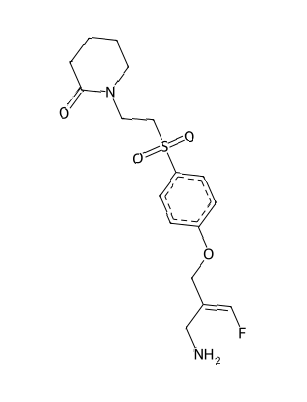 NCC(=CF)COc1ccc(S(=O)(=O)CCN2CCCCC2=O)cc1